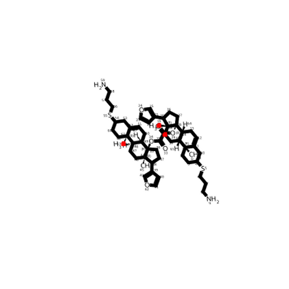 C[C@]12CCC(SCCCN)CC1=CC[C@@H]1[C@H]2CC[C@]2(C)C(c3ccoc3)CC[C@@]12OC(=O)C(=O)O[C@@]12CCC(c3ccoc3)[C@@]1(C)CC[C@@H]1[C@H]2CC=C2CC(SCCCN)CC[C@@]21C